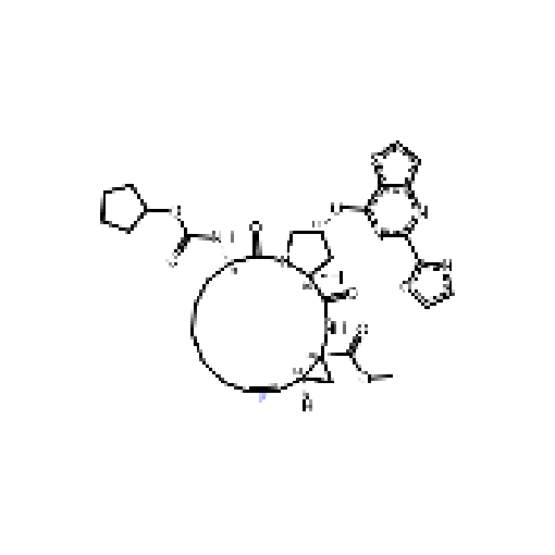 COC(=O)[C@@]12C[C@H]1/C=C\CCCCC[C@H](NC(=O)OC1CCCC1)C(=O)N1C[C@H](Oc3nc(-c4ncco4)nc4ccsc34)C[C@H]1C(=O)N2